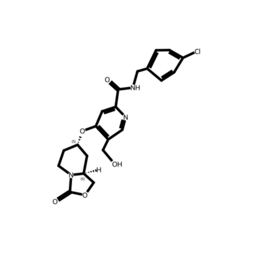 O=C(NCc1ccc(Cl)cc1)c1cc(O[C@H]2CCN3C(=O)OC[C@@H]3C2)c(CO)cn1